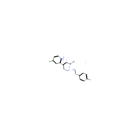 Cc1ccc(C(O)CN2CCc3c([nH]c4ccc(Cl)cc34)C2CO)cc1Cl